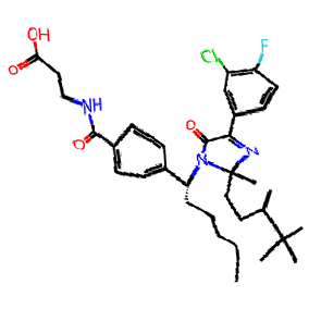 CCCCC[C@H](c1ccc(C(=O)NCCC(=O)O)cc1)N1C(=O)C(c2ccc(F)c(Cl)c2)=NC1(C)CCC(C)C(C)(C)C